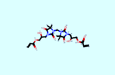 C=CC(=O)OCC(O)CN1C(=O)N(CN2C(=O)N(CC(O)COC(=O)C=C)C(=O)C2(C)C)C(C)(C)C1=O